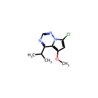 COc1cc(Cl)n2ncnc(C(C)C)c12